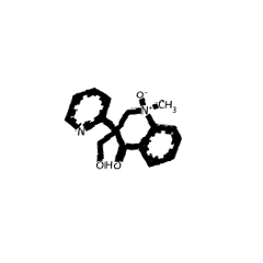 C[N+]1([O-])CC(CO)(c2ccccn2)C(=O)c2ccccc21